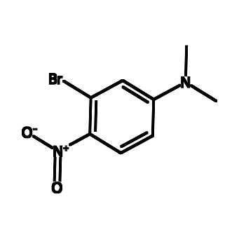 CN(C)c1ccc([N+](=O)[O-])c(Br)c1